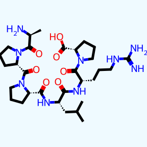 CC(C)C[C@H](NC(=O)[C@@H]1CCCN1C(=O)[C@@H]1CCCN1C(=O)[C@H](C)N)C(=O)N[C@@H](CCCNC(=N)N)C(=O)N1CCC[C@H]1C(=O)O